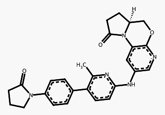 Cc1nc(Nc2cnc3c(c2)N2C(=O)CC[C@H]2CO3)ccc1-c1ccc(N2CCCC2=O)cc1